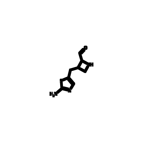 Nc1ncc(CC2CNC2C=O)s1